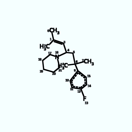 CC(C)=CC(CC(C)(C)c1ccc(F)cc1)N1CCCCC1